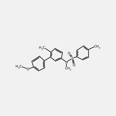 COc1ccc(-c2cc(N(C)S(=O)(=O)c3ccc(C)cc3)ccc2C)cc1